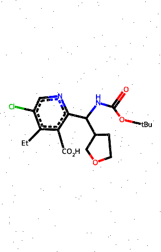 CCc1c(Cl)cnc(C(NC(=O)OC(C)(C)C)C2CCOC2)c1C(=O)O